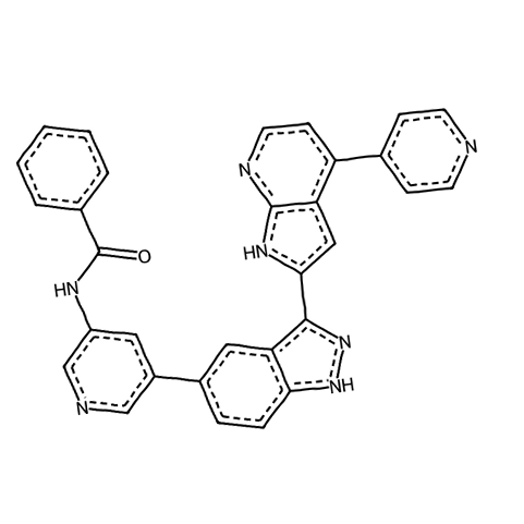 O=C(Nc1cncc(-c2ccc3[nH]nc(-c4cc5c(-c6ccncc6)ccnc5[nH]4)c3c2)c1)c1ccccc1